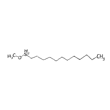 CCCCCCCCCCCC[SiH2]OC